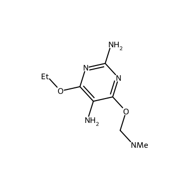 CCOc1nc(N)nc(OCNC)c1N